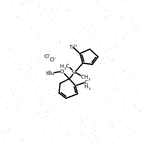 CC1=CC=CCC1(OC(C)(C)C)[Si](C)(C)C1=[C]([Ti+2])CC=C1.[Cl-].[Cl-]